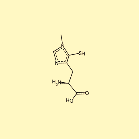 Cn1cnc(C[C@H](N)C(=O)O)c1S